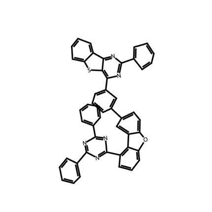 c1ccc(-c2nc(-c3ccccc3)nc(-c3cccc4oc5ccc(-c6cccc(-c7nc(-c8ccccc8)nc8c7sc7ccccc78)c6)cc5c34)n2)cc1